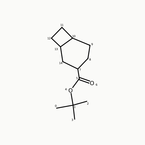 CC(C)(C)OC(=O)C1CCC2CCC2C1